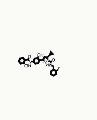 O=C(Nc1ccc(-c2cc(C3CC3)n(C(=O)NCc3ccccc3F)n2)c(O)c1)c1ccccc1Cl